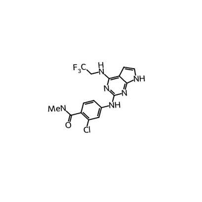 CNC(=O)c1ccc(Nc2nc(NCC(F)(F)F)c3cc[nH]c3n2)cc1Cl